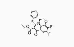 CCOC(=O)c1c(Sc2ccccc2)n2c3c(c(F)c(F)cc3c1=O)OCC2C